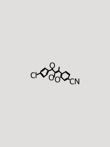 Cc1c(C(=O)c2ccc(Cl)cc2)c(=O)oc2cc(C#N)ccc12